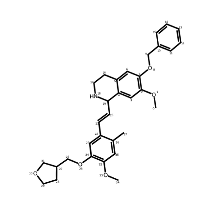 COc1cc2c(cc1OCc1ccccc1)CCNC2/C=C/c1cc(OCC2CCOC2)c(OC)cc1C